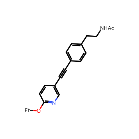 CCOc1ccc(C#Cc2ccc(CCNC(C)=O)cc2)cn1